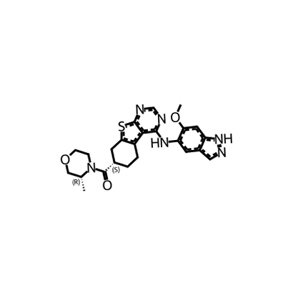 COc1cc2[nH]ncc2cc1Nc1ncnc2sc3c(c12)CC[C@H](C(=O)N1CCOC[C@H]1C)C3